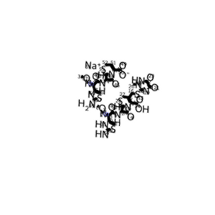 CO/N=C(\C(=O)N[C@@H]1C(=O)N2C(C(=O)O)=C(CSc3nc(=O)c(=O)[nH]n3C)CS[C@H]12)c1csc(=N)[nH]1.CO/N=C(\C(=O)N[C@@H]1C(=O)N2C(C(=O)[O-])=CCS[C@H]12)c1csc(N)n1.[Na+]